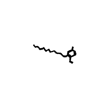 CCCCCCCCCCCCc1cc(C)ccc1CC